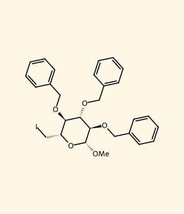 CO[C@@H]1O[C@H](CI)[C@@H](OCc2ccccc2)[C@H](OCc2ccccc2)[C@H]1OCc1ccccc1